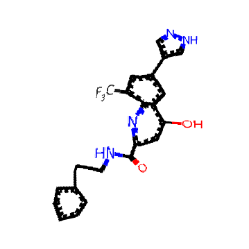 O=C(NCCc1ccccc1)c1cc(O)c2cc(-c3cn[nH]c3)cc(C(F)(F)F)c2n1